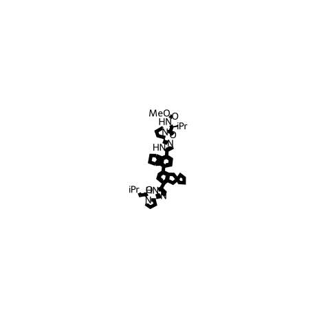 COC(=O)N[C@H](C(=O)N1CCC[C@@H]1c1ncc(-c2ccc(-c3ccc(-c4cnc([C@@H]5CCCN5C(=O)CC(C)C)[nH]4)c4c3CC3(CCCC3)C4)c3c2C2CCC3C2)[nH]1)C(C)C